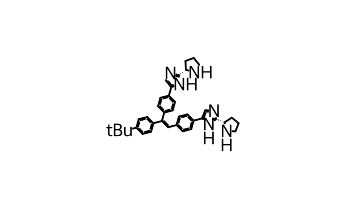 CC(C)(C)c1ccc(C(=Cc2ccc(-c3cnc([C@@H]4CCCN4)[nH]3)cc2)c2ccc(-c3cnc([C@@H]4CCCN4)[nH]3)cc2)cc1